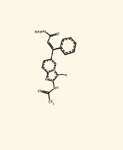 CNC(=O)/C=C(\c1ccccc1)c1ccc2nc(NC(=O)C(F)(F)F)c(I)n2c1